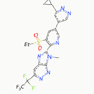 CCS(=O)(=O)c1cc(-c2cnnc(C3CC3)c2)cnc1-c1nc2cc(C(F)(F)C(F)(F)F)nnc2n1C